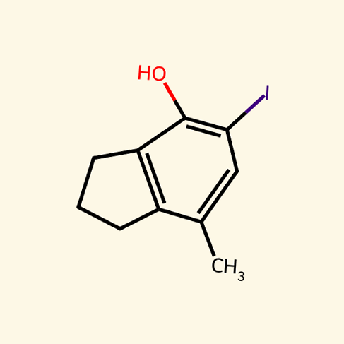 Cc1cc(I)c(O)c2c1CCC2